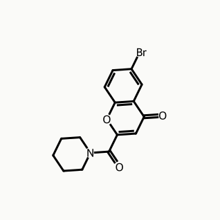 O=C(c1cc(=O)c2cc(Br)ccc2o1)N1CCCCC1